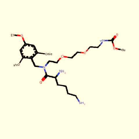 CCOc1cc(OC)c(CN(CCOCCOCCNC(=O)OC(C)(C)C)C(=O)C(N)CCCCN)c(OC)c1